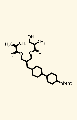 C=C(C)C(=O)OCC(COC(=O)C(C)CO)CC1CCC(C2CCC(CCCCC)CC2)CC1